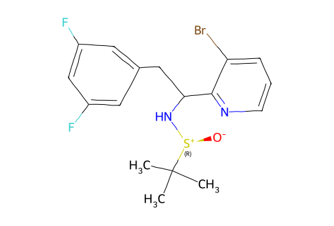 CC(C)(C)[S@+]([O-])NC(Cc1cc(F)cc(F)c1)c1ncccc1Br